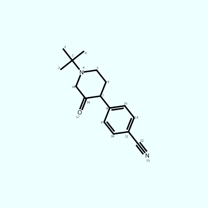 CC(C)(C)N1CCC(c2ccc(C#N)cc2)C(=O)C1